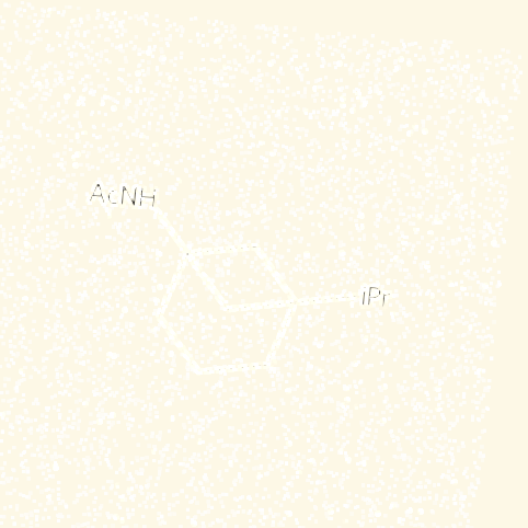 CC(=O)NC12CCCC(C(C)C)(C1)C2